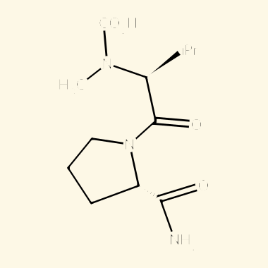 CC(C)[C@@H](C(=O)N1CCC[C@H]1C(N)=O)N(C)C(=O)O